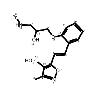 Cc1noc(C=Cc2ccccc2OCC(O)CNC(C)C)c1C(=O)O